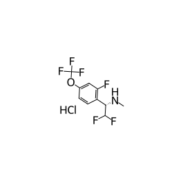 CN[C@@H](c1ccc(OC(F)(F)F)cc1F)C(F)F.Cl